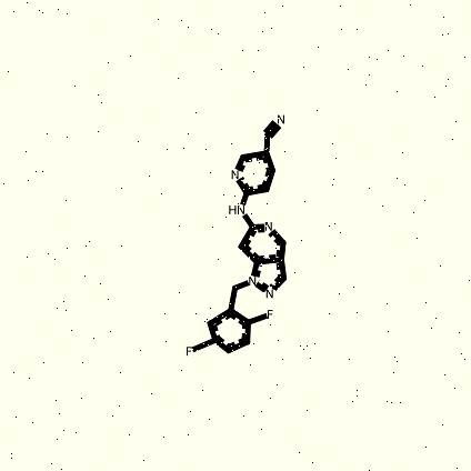 N#Cc1ccc(Nc2cc3c(cn2)cnn3Cc2cc(F)ccc2F)nc1